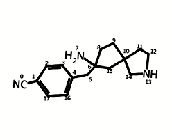 N#Cc1ccc(CC2(N)CCC3(CCNC3)C2)cc1